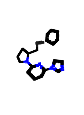 COCC1CCCN1c1cccc(-n2ccnc2)n1.c1ccccc1